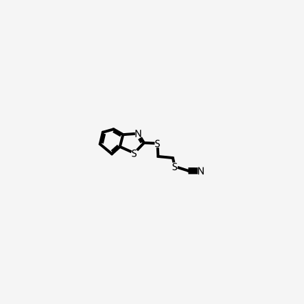 N#CSCCSc1nc2ccccc2s1